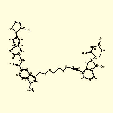 Cc1nn(CCOCCCCC#Cc2cccc3c2CN(C2CCC(=O)NC2=O)C3=O)c2cc(C(=O)Nc3cn4cc([C@H]5CCCN5C)nc4cn3)ccc12